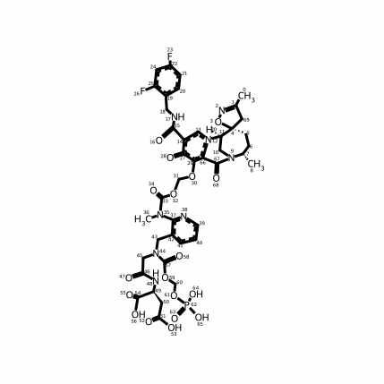 CC1=NO[C@@]2(CC[C@H](C)N3C[C@H]2n2cc(C(=O)NCc4ccc(F)cc4F)c(=O)c(OCOC(=O)N(C)c4ncccc4CN(CC(=O)N[C@@H](CC(=O)O)C(=O)O)C(=O)OCOP(=O)(O)O)c2C3=O)C1